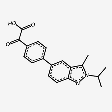 Cc1c2cc(-c3ccc(C(=O)C(=O)O)cc3)ccc2nn1C(C)C